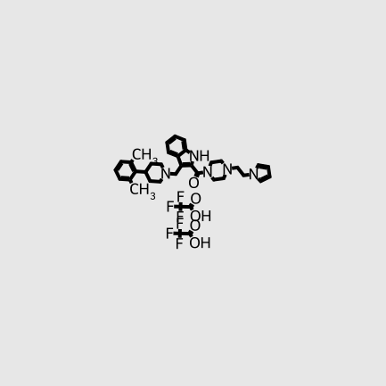 Cc1cccc(C)c1C1CCN(Cc2c(C(=O)N3CCN(CCn4cccc4)CC3)[nH]c3ccccc23)CC1.O=C(O)C(F)(F)F.O=C(O)C(F)(F)F